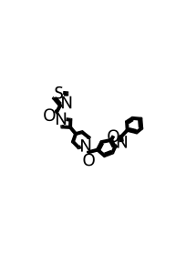 O=C(c1ccc2nc(-c3ccccc3)oc2c1)N1CCC(C2CN(C(=O)c3cscn3)C2)CC1